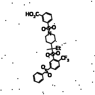 CCC(C)(C1CCN(S(=O)(=O)c2cccc(C(=O)O)c2)CC1)S(=O)(=O)c1cc(S(=O)(=O)c2ccccc2)ccc1C(F)(F)F